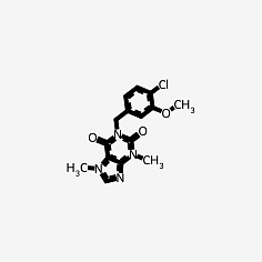 COc1cc(Cn2c(=O)c3c(ncn3C)n(C)c2=O)ccc1Cl